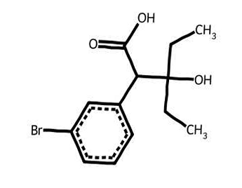 CCC(O)(CC)C(C(=O)O)c1cccc(Br)c1